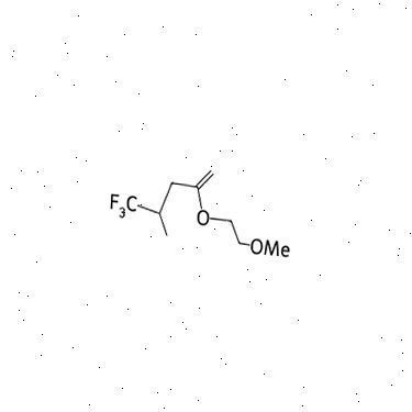 C=C(CC(C)C(F)(F)F)OCCOC